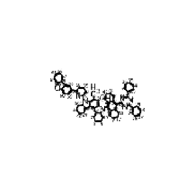 Cc1c(C)c2c(c3ccccc3n2-c2c3ccccc3c(-c3nc(-c4ccccc4)nc(-c4ccccc4)n3)c3ccccc23)c2c3ccccc3n(-c3cccc(-c4ccc5oc6ccccc6c5c4)n3)c12